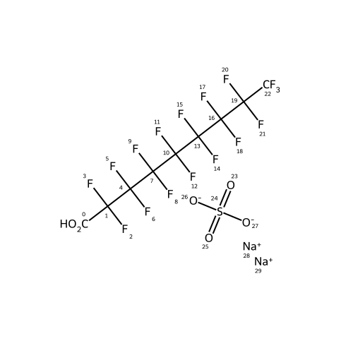 O=C(O)C(F)(F)C(F)(F)C(F)(F)C(F)(F)C(F)(F)C(F)(F)C(F)(F)C(F)(F)F.O=S(=O)([O-])[O-].[Na+].[Na+]